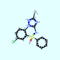 O=S1(c2ccccc2)=Nc2nc(C(F)(F)F)nn2-c2ccc(Cl)cc21